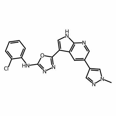 Cn1cc(-c2cnc3[nH]cc(-c4nnc(Nc5ccccc5Cl)o4)c3c2)cn1